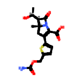 C[C@@H](O)[C@H]1C(=O)N2C(C(=O)O)=C(c3ccc(COC(N)=O)s3)C[C@H]12